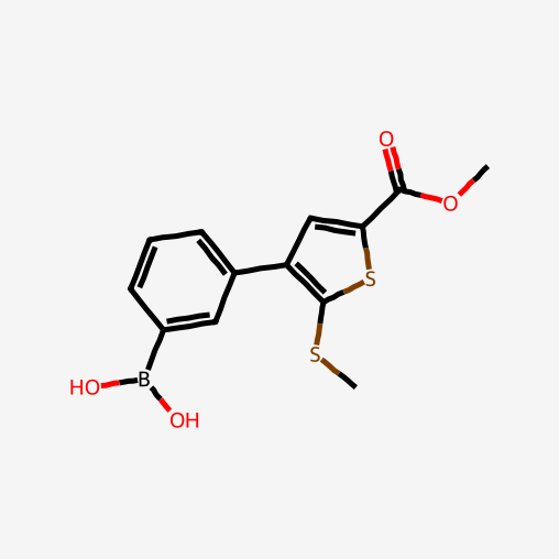 COC(=O)c1cc(-c2cccc(B(O)O)c2)c(SC)s1